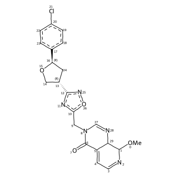 COC1N=CC=C2C(=O)N(Cc3nc([C@@H]4CO[C@@H](c5ccc(Cl)cc5)C4)no3)C=NC21